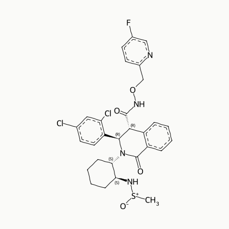 C[S+]([O-])N[C@H]1CCCC[C@@H]1N1C(=O)c2ccccc2[C@@H](C(=O)NOCc2ccc(F)cn2)[C@@H]1c1ccc(Cl)cc1Cl